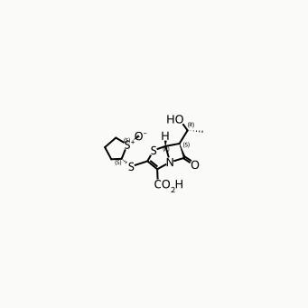 C[C@@H](O)[C@H]1C(=O)N2C(C(=O)O)=C(S[C@@H]3CCC[S@@+]3[O-])S[C@H]12